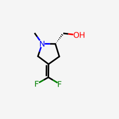 CN1CC(=C(F)F)C[C@H]1CO